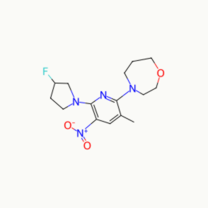 Cc1cc([N+](=O)[O-])c(N2CCC(F)C2)nc1N1CCCOCC1